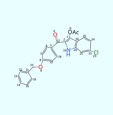 CC(=O)Oc1c(C(=O)c2ccc(OCc3ccccc3)cc2)[nH]c2cc(Cl)ccc12